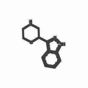 c1ccc2c(C3CNCCO3)n[nH]c2c1